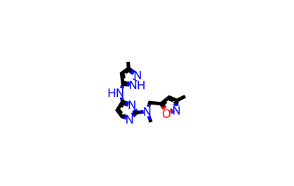 Cc1cc(Nc2ccnc(N(C)Cc3cc(C)no3)n2)[nH]n1